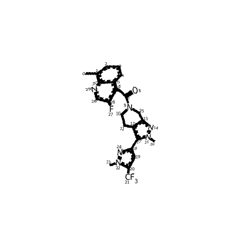 Cc1cccc2c(C(=O)N3CCc4c(nn(C)c4-c4cc(C(F)(F)F)n(C)n4)C3)c(F)cnc12